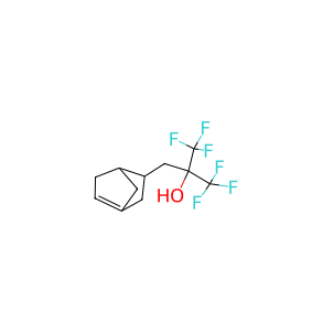 OC(CC1CC2=CCC1C2)(C(F)(F)F)C(F)(F)F